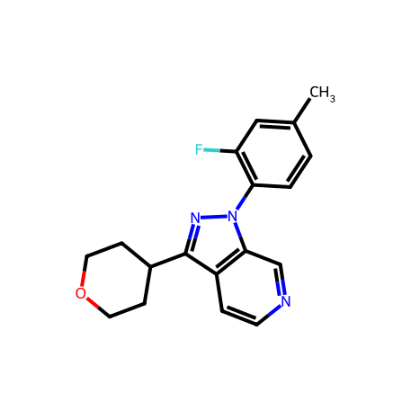 Cc1ccc(-n2nc(C3CCOCC3)c3ccncc32)c(F)c1